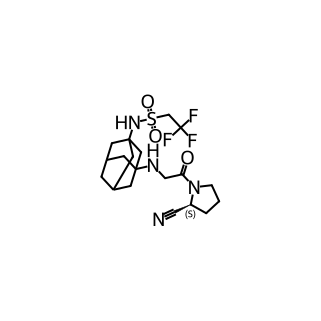 N#C[C@@H]1CCCN1C(=O)CNC12CC3CC(C1)CC(NS(=O)(=O)CC(F)(F)F)(C3)C2